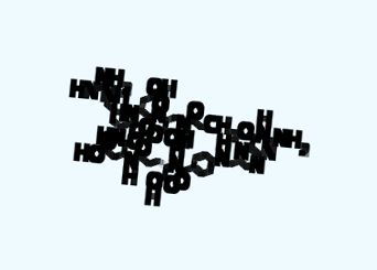 CCC(=O)NC[C@H](NC(=O)[C@H](CC(=O)O)NC(=O)[C@H](CCCNC(=N)N)NC(=O)[C@H](CC(=O)O)NC(=O)CC[C@H](NC(=O)c1ccc(NCc2cnc3nc(N)[nH]c(=O)c3n2)cc1)C(=O)O)C(=O)O